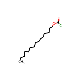 CCCCCCCCCCCCCCCOC(=O)Cl